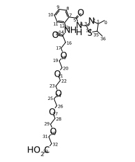 CC1N=C(NC(=O)c2ccccc2NC(=O)CCOCCOCCOCCOCCOCCC(=O)O)SC1C